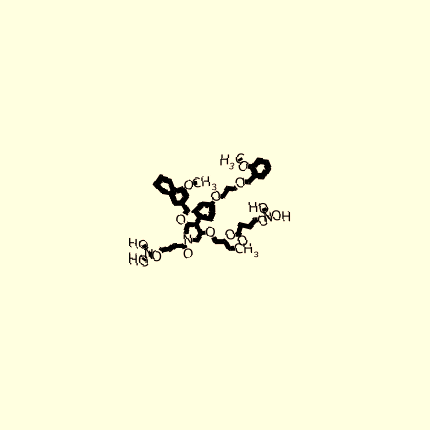 CCC(COC1CN(C(=O)CCCON(O)O)CC(OCc2cc(OC)c3ccccc3c2)C1c1ccc(OCCCOCc2ccccc2OC)cc1)OC(=O)CCCON(O)O